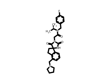 C[C@H](N(Cc1ccc(F)cc1)C(=O)CN1C(=O)NC2(CCc3c(CN4CCCC4)cccc32)C1=O)C(F)(F)F